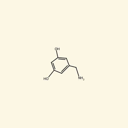 NCc1cc(O)cc(O)c1